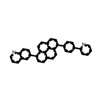 c1ccc(-c2ccc(-c3ccc4ccc5c(-c6ccc7ncccc7c6)ccc6ccc3c4c65)cc2)nc1